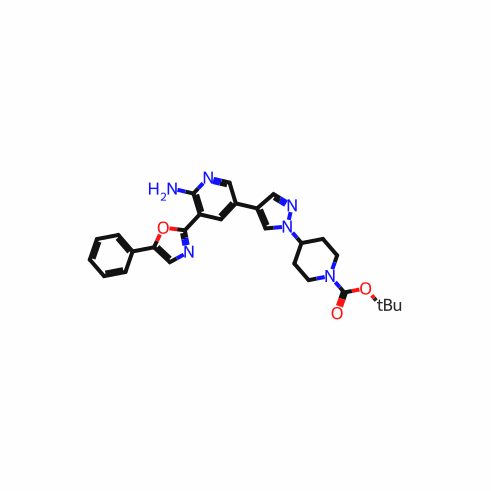 CC(C)(C)OC(=O)N1CCC(n2cc(-c3cnc(N)c(-c4ncc(-c5ccccc5)o4)c3)cn2)CC1